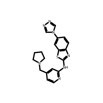 c1cc(CN2CCCC2)cc(Nc2nc3ccc(-n4cnnc4)cc3s2)n1